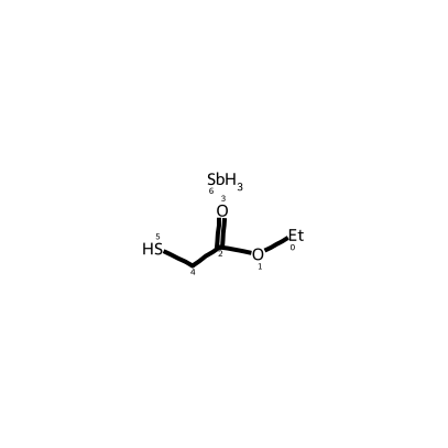 CCOC(=O)CS.[SbH3]